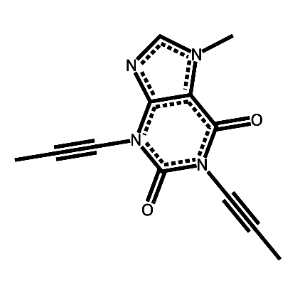 CC#Cn1c(=O)c2c(ncn2C)n(C#CC)c1=O